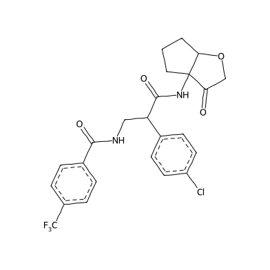 O=C(NCC(C(=O)NC12CCCC1OCC2=O)c1ccc(Cl)cc1)c1ccc(C(F)(F)F)cc1